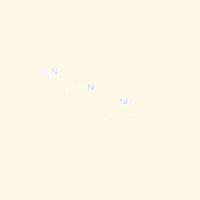 CC(C)(C)OC(=O)NC1CCN(C(=O)c2ccccc2N)CC1